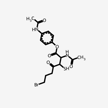 CC(=O)Nc1ccc(OC(=O)C(NC(C)=O)C(S)C(=O)CCCBr)cc1